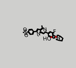 Cc1nc(-c2ccc(N3CC4CCC(C3)N4CCCO)c(F)c2)cc2c1cc(-c1ccc(S(C)(=O)=O)cc1)n2C